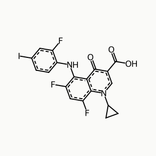 O=C(O)c1cn(C2CC2)c2c(F)cc(F)c(Nc3ccc(I)cc3F)c2c1=O